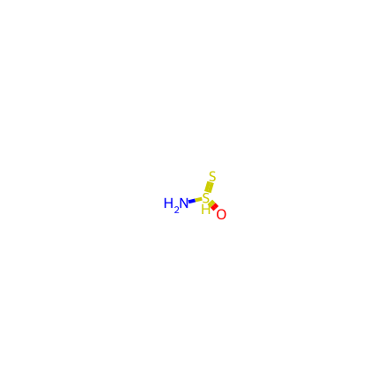 N[SH](=O)=S